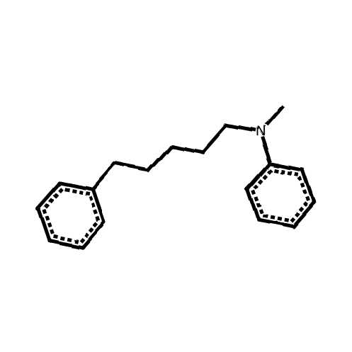 CN(CCCCCc1ccccc1)c1ccccc1